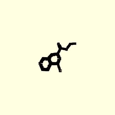 CCOC(=O)c1cc2cnccc2c(Cl)n1